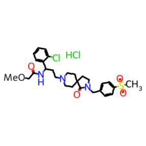 COCC(=O)NC(CCN1CCC2(CC1)CCN(Cc1ccc(S(C)(=O)=O)cc1)C2=O)c1ccccc1Cl.Cl